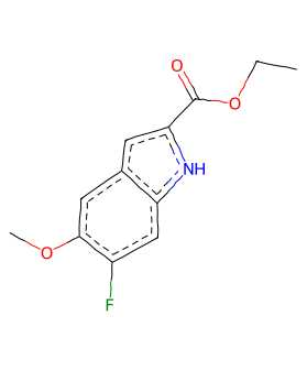 CCOC(=O)c1cc2cc(OC)c(F)cc2[nH]1